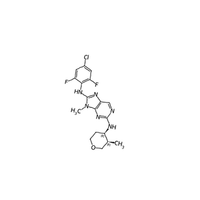 C[C@H]1COCC[C@H]1Nc1ncc2nc(Nc3c(F)cc(Cl)cc3F)n(C)c2n1